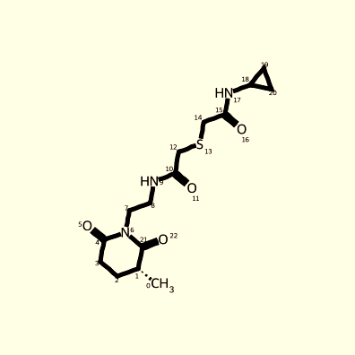 C[C@@H]1CCC(=O)N(CCNC(=O)CSCC(=O)NC2CC2)C1=O